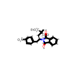 CCOC(=O)C(C)(C=O)C[C@H](Cc1ccc([N+](=O)[O-])cc1)N1C(=O)c2ccccc2C1=O